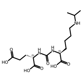 CC(C)NCCCC[C@H](NC(=O)N[C@@H](CCC(=O)O)C(=O)O)C(=O)O